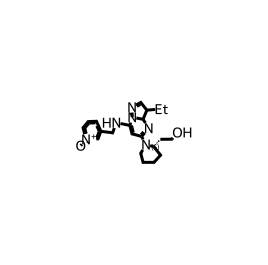 CCC1C=NN2C(NCc3ccc[n+]([O-])c3)=CC(N3CCCC[C@H]3CCO)=NC12